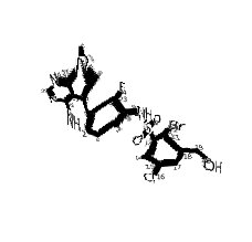 Cn1cc(-c2cccc(NS(=O)(=O)c3cc(Cl)cc(CO)c3Br)c2F)c2c(N)ncnc21